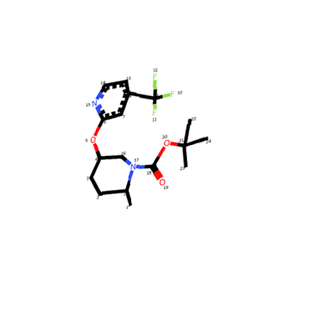 CC1CCC(Oc2cc(C(F)(F)F)ccn2)CN1C(=O)OC(C)(C)C